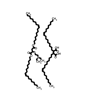 CCCCCCCC/C=C\CCCCCCCC/C(C(=O)O)=C(\CCCCCCCC/C=C\CCCCCCCC)C(=O)O.CCCCCCCC/C=C\CCCCCCCCOC(=O)CC(SCCN(CC)CC)C(=O)OCCCCCCCC/C=C\CCCCCCCC